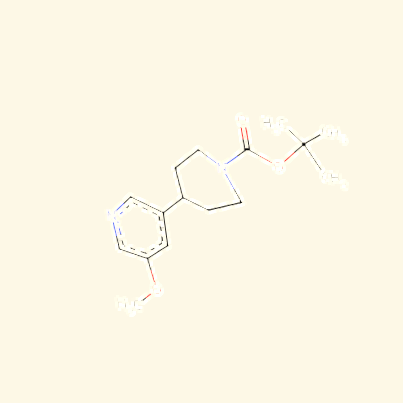 COc1cncc(C2CCN(C(=O)OC(C)(C)C)CC2)c1